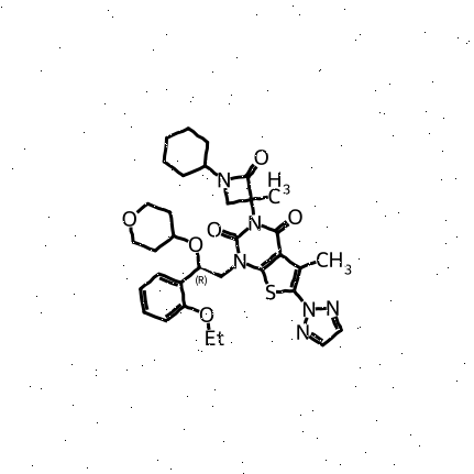 CCOc1ccccc1[C@H](Cn1c(=O)n(C2(C)CN(C3CCCCC3)C2=O)c(=O)c2c(C)c(-n3nccn3)sc21)OC1CCOCC1